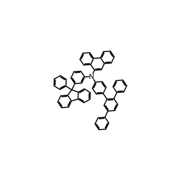 c1ccc(-c2ccc(-c3ccccc3)c(-c3ccc(N(c4cccc(C5(c6ccccc6)c6ccccc6-c6ccccc65)c4)c4cc5ccccc5c5ccccc45)cc3)c2)cc1